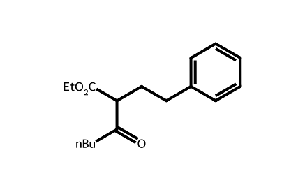 CCCCC(=O)C(CCc1ccccc1)C(=O)OCC